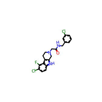 O=C(CN1CCc2c([nH]c3ccc(Cl)c(F)c23)C1)NCc1cccc(Cl)c1